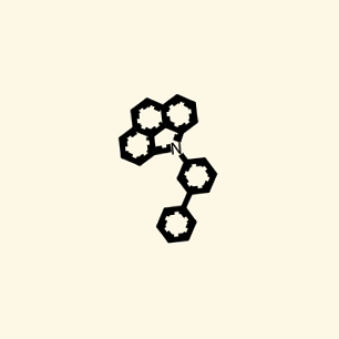 c1ccc(-c2cccc(-n3c4cccc5ccc6cccc3c6c54)c2)cc1